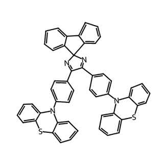 c1ccc2c(c1)Sc1ccccc1N2c1ccc(C2=NC3(N=C2c2ccc(N4c5ccccc5Sc5ccccc54)cc2)c2ccccc2-c2ccccc23)cc1